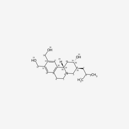 CC(C)C[C@H]1CN2CCc3cc(CO)c(CO)cc3[C@@H]2C[C@@H]1O